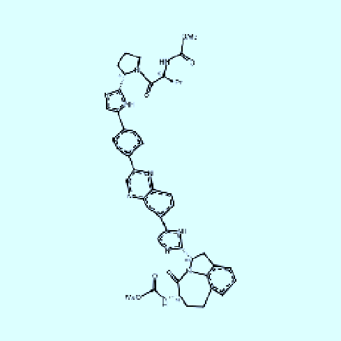 COC(=O)N[C@H]1CCc2cccc3c2N(C1=O)[C@H](c1ncc(-c2ccc4nc(-c5ccc(-c6cnc([C@@H]7CCCN7C(=O)[C@@H](NC(=O)OC)C(C)C)[nH]6)cc5)cnc4c2)[nH]1)C3